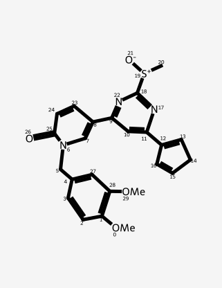 COc1ccc(Cn2cc(-c3cc(C4=CCC=C4)nc([S+](C)[O-])n3)ccc2=O)cc1OC